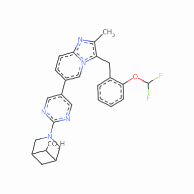 Cc1nc2ccc(-c3cnc(N4CC5CC(C4)C5C(=O)O)nc3)cn2c1Cc1ccccc1OC(F)F